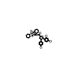 O=C(N[N+]1(OS(=O)(=O)NC2CCCCC2)CCCCC1)C1=NN(c2ccc(Cl)cc2Cl)C(c2ccc(Cl)cc2)C1